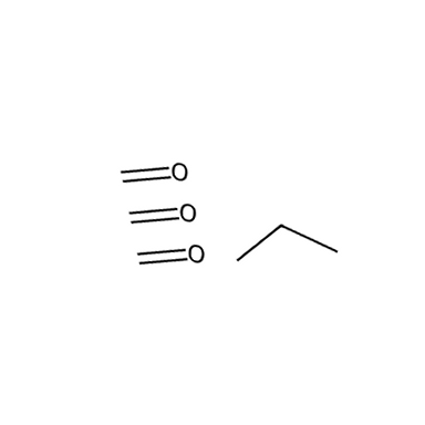 C=O.C=O.C=O.CCC